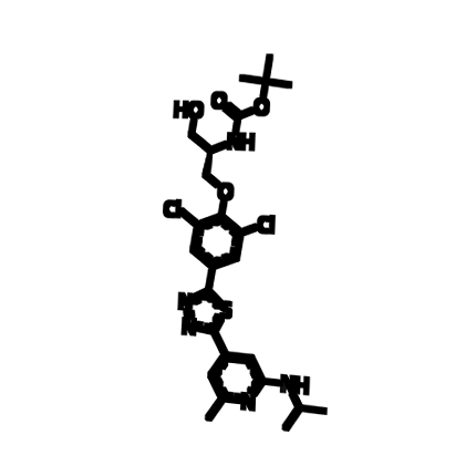 Cc1cc(-c2nnc(-c3cc(Cl)c(OC[C@@H](CO)NC(=O)OC(C)(C)C)c(Cl)c3)s2)cc(NC(C)C)n1